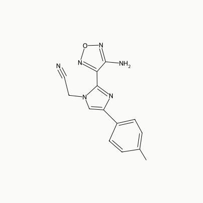 Cc1ccc(-c2cn(CC#N)c(-c3nonc3N)n2)cc1